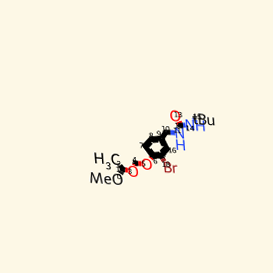 COC(C)OCOc1ccc(CNC(=O)NC(C)(C)C)cc1Br